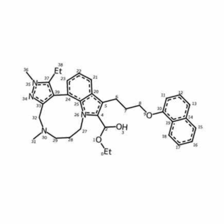 CCOC(O)c1c(CCCOc2cccc3ccccc23)c2cccc3c2n1CCCN(C)Cc1nn(C)c(CC)c1-3